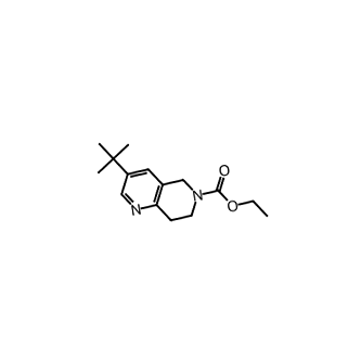 CCOC(=O)N1CCc2ncc(C(C)(C)C)cc2C1